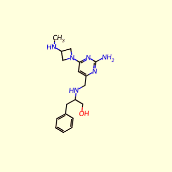 CNC1CN(c2cc(CNC(CO)Cc3ccccc3)nc(N)n2)C1